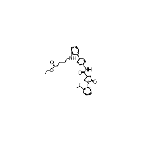 CCOC(=O)CCCCNc1ccccc1-c1ccc(NC(=O)C2CC(=O)N(c3ccccc3C(C)C)C2)cc1